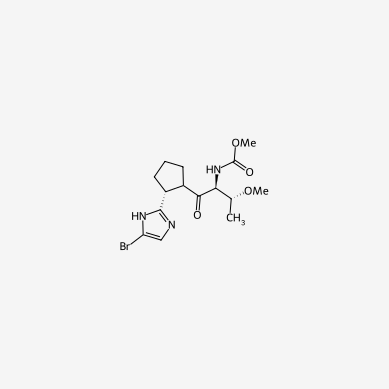 COC(=O)N[C@H](C(=O)C1CCC[C@H]1c1ncc(Br)[nH]1)[C@@H](C)OC